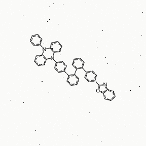 c1ccc(N2c3ccccc3N(c3ccc(-c4ccccc4-c4ccccc4-c4ccc(-c5nc6ccccc6o5)cc4)cc3)c3ccccc32)cc1